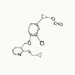 O=COC1CC1c1ccc(OCc2cccnc2SCC2CC2)c(Cl)c1